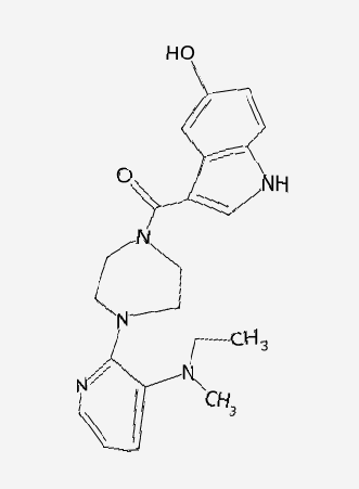 CCN(C)c1cccnc1N1CCN(C(=O)c2c[nH]c3ccc(O)cc23)CC1